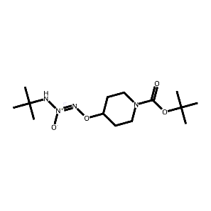 CC(C)(C)N/[N+]([O-])=N/OC1CCN(C(=O)OC(C)(C)C)CC1